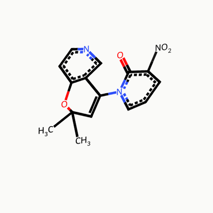 CC1(C)C=C(n2cccc([N+](=O)[O-])c2=O)c2cnccc2O1